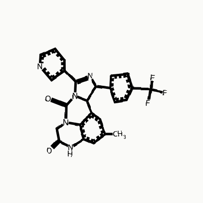 Cc1cc2c3c(c1)C1C(c4ccc(C(F)(F)F)cc4)N=C(c4cccnc4)N1C(=O)N3CC(=O)N2